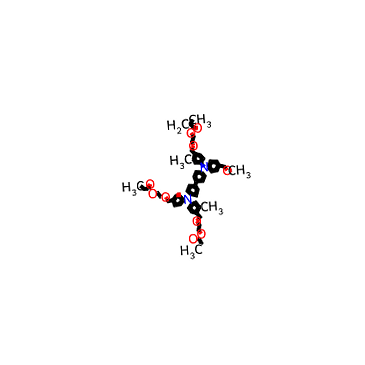 C=C(C)C(=O)OCCOCc1ccc(N(c2ccc(COC)cc2)c2ccc(-c3ccc(N(c4ccc(COCCOC(=O)CC)cc4)c4ccc(COCCOC(=O)CC)c(C)c4)cc3)cc2)cc1C